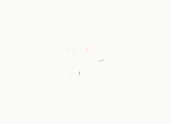 C=CCC(CC(F)=C(F)F)CC(C)(OCC)C(F)(F)F